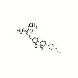 C=CC(=O)N(C)CCCc1ccc(-c2ccc(C3CCC(CCF)CC3)cc2)c(C)c1